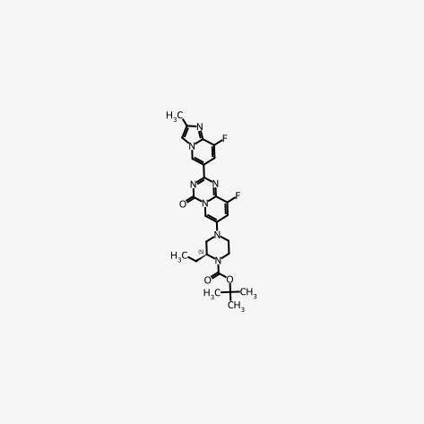 CC[C@H]1CN(c2cc(F)c3nc(-c4cc(F)c5nc(C)cn5c4)nc(=O)n3c2)CCN1C(=O)OC(C)(C)C